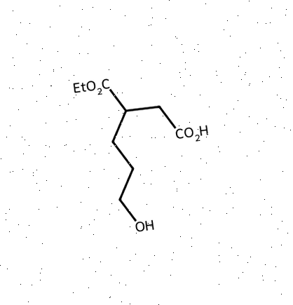 CCOC(=O)C(CCCO)CC(=O)O